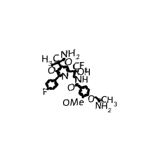 COc1cc(C(=O)NCC(O)(c2cc3c(c(-c4ccc(F)cc4)n2)OC[C@]3(C)C(N)=O)C(F)(F)F)ccc1OC[C@@H](C)N